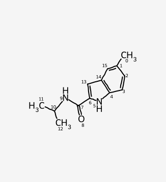 Cc1ccc2[nH]c(C(=O)NC(C)C)cc2c1